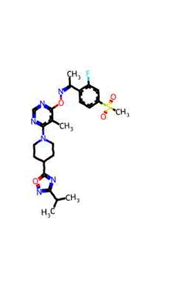 CC(=NOc1ncnc(N2CCC(c3nc(C(C)C)no3)CC2)c1C)c1ccc(S(C)(=O)=O)cc1F